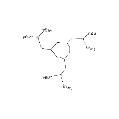 CCCCCN(CCCC)CC1CC(CN(CCCC)CCCCC)CC(CN(CCCC)CCCCC)C1